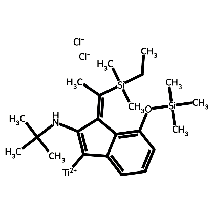 CC[Si](C)(C)C(C)=C1C(NC(C)(C)C)=[C]([Ti+2])c2cccc(O[Si](C)(C)C)c21.[Cl-].[Cl-]